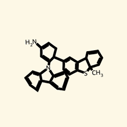 CC12C=CC=CC1c1cc(C3CC=C(N)C=C3n3c4ccccc4c4ccccc43)ccc1S2